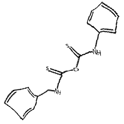 S=C(Nc1ccccc1)OC(=S)Nc1ccccc1